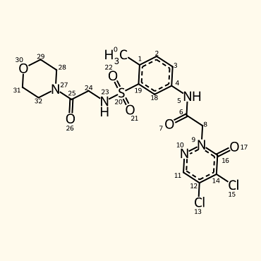 Cc1ccc(NC(=O)Cn2ncc(Cl)c(Cl)c2=O)cc1S(=O)(=O)NCC(=O)N1CCOCC1